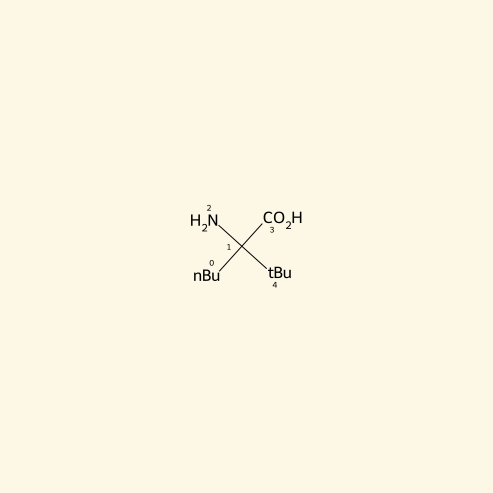 CCCCC(N)(C(=O)O)C(C)(C)C